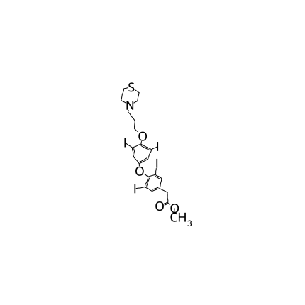 COC(=O)Cc1cc(I)c(Oc2cc(I)c(OCCCN3CCSCC3)c(I)c2)c(I)c1